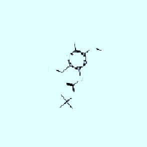 COc1cc(NC(=O)OC(C)(C)C)c(CO)nc1Br